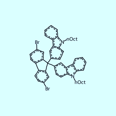 CCCCCCCCn1c2ccccc2c2cc(C3(c4ccc5c(c4)c4ccccc4n5CCCCCCCC)c4cc(Br)ccc4-c4ccc(Br)cc43)ccc21